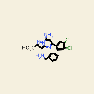 NCc1ccccc1.Nc1cc(-c2ccc(Cl)c(Cl)c2)nc2cc(C(=O)O)nn12